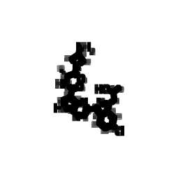 CC(O)Cn1nc(-c2cnc3[nH]cc(C(=O)N[C@H](C)C(=O)N4CC(N)C4)c3n2)c2ccc(Cl)cc21